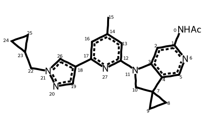 CC(=O)Nc1cc2c(cn1)C1(CC1)CN2c1cc(C)cc(-c2cnn(CC3CC3)c2)n1